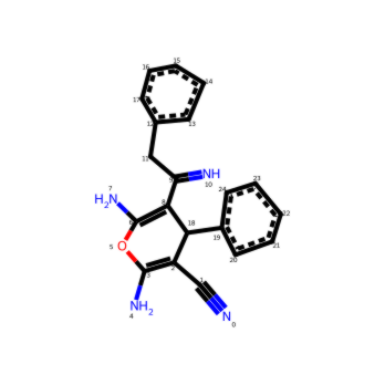 N#CC1=C(N)OC(N)=C(C(=N)Cc2ccccc2)C1c1ccccc1